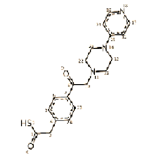 O=C(S)Cc1ccc(C(=O)CN2CCN(c3ccncc3)CC2)cc1